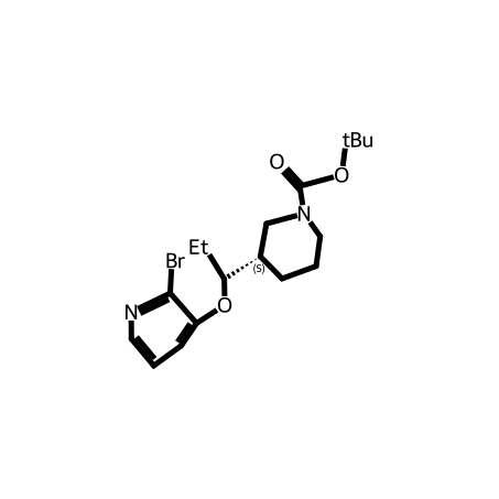 CCC(Oc1cccnc1Br)[C@H]1CCCN(C(=O)OC(C)(C)C)C1